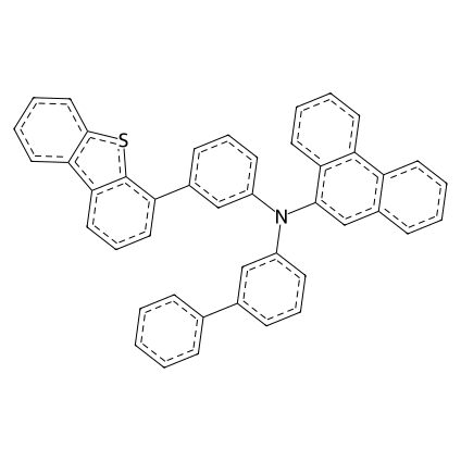 c1ccc(-c2cccc(N(c3cccc(-c4cccc5c4sc4ccccc45)c3)c3cc4ccccc4c4ccccc34)c2)cc1